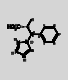 C[C@@H](C(=O)O)N(c1ccccc1)n1cnnn1